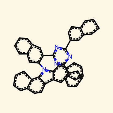 c1ccc(-c2nc(-c3ccc4ccccc4c3)nc(-c3cc4ccccc4cc3-n3c4cc5ccccc5cc4c4ccc5ccccc5c43)n2)cc1